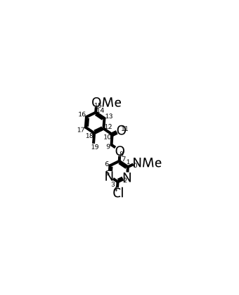 CNc1nc(Cl)ncc1OCC(=O)c1cc(OC)ccc1C